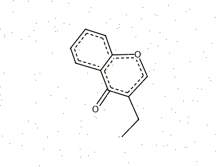 [CH2]Cc1coc2ccccc2c1=O